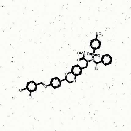 CC[C@@H](c1ccccc1)N(C(Cc1ccc2c(c1)OCC(c1ccc(OCc3ccc(Cl)c(Cl)c3)cc1)O2)C(=O)OC)S(=O)(=O)c1ccc([N+](=O)[O-])cc1